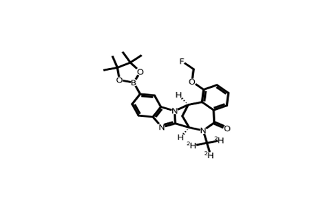 [2H]C([2H])([2H])N1C(=O)c2cccc(OCF)c2[C@H]2C[C@@H]1c1nc3ccc(B4OC(C)(C)C(C)(C)O4)cc3n12